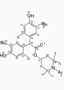 CC(=O)N1C(C)(C)CC(OC(=O)C(c2cc(C(C)(C)C)c(O)cc2C)c2cc(C(C)(C)C)c(O)cc2C)CC1(C)C